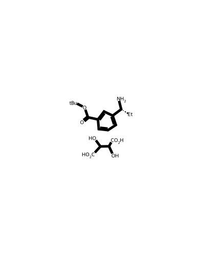 CC[C@@H](N)c1cccc(C(=O)OC(C)(C)C)c1.O=C(O)C(O)C(O)C(=O)O